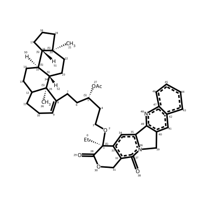 CC[C@@]1(OCC[C@H](CCC2=CCCC3CC[C@H]4[C@@H]5CCC[C@@]5(C)CC[C@@H]4[C@@]23C)OC(C)=O)C(=O)OCc2c1cc1n(c2=O)Cc2cc3ccccc3nc2-1